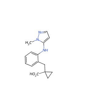 Cn1nccc1Nc1ccccc1CC1(C(=O)O)CC1